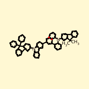 CC1(C)c2ccccc2-c2ccc(N(c3ccccc3)c3ccccc3-c3cccc(-c4ccc5c(c4)c4ccccc4n5-c4ccc5c(c4)-c4ccccc4C5(c4ccccc4)c4ccccc4)c3)cc21